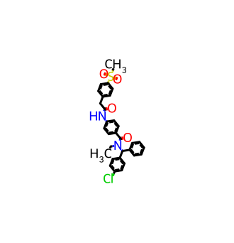 CCN(C(=O)c1ccc(NC(=O)Cc2ccc(S(=O)(=O)CC)cc2)cc1)C(c1ccccc1)c1ccc(Cl)cc1